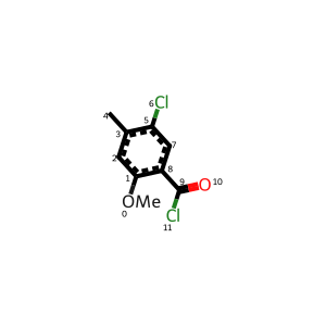 COc1cc(C)c(Cl)cc1C(=O)Cl